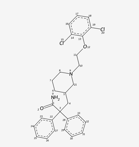 NC(=O)C(CC1CCCN(CCOc2c(Cl)cccc2Cl)C1)(c1ccccc1)c1ccccc1